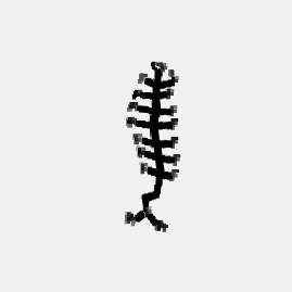 CC(C)[Si](CCC(F)(F)C(F)(F)C(F)(F)C(F)(F)C(F)(F)C(F)(F)C(F)(F)C(F)(F)F)C(C)C